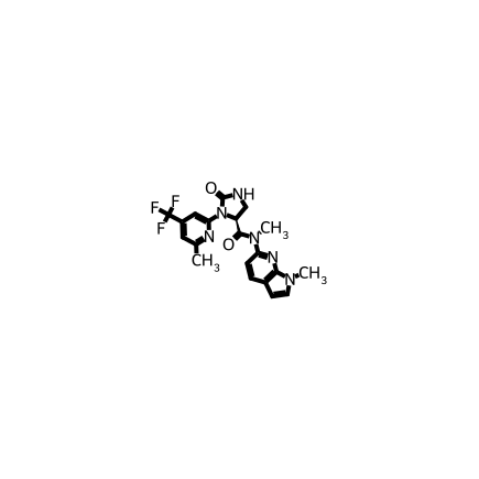 Cc1cc(C(F)(F)F)cc(N2C(=O)NC[C@H]2C(=O)N(C)c2ccc3ccn(C)c3n2)n1